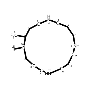 FC(F)(F)C1CCNCCCNCCCNCCC[N]1[Ti]